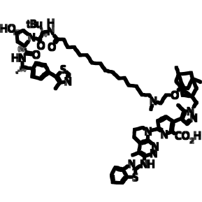 Cc1ncsc1-c1ccc([C@H](C)NC(=O)[C@@H]2C[C@@H](O)CN2C(=O)[C@@H](NC(=O)CCCCCCCCCCCCCCCN(C)CCOC23CC4(C)CC(C)(CC(Cn5ncc(-c6ccc(N7CCCc8c7nnc(Nc7nc9ccccc9s7)c8C)nc6C(=O)O)c5C)(C4)C2)C3)C(C)(C)C)cc1